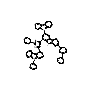 c1ccc(-c2cccc(-c3ccc4c(c3)sc3c(-c5nc(-c6ccccc6)nc(-c6cccc7c6c6ccccc6n7-c6ccccc6)n5)cc(-n5c6ccccc6c6ccccc65)cc34)c2)cc1